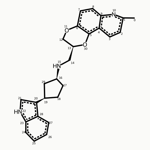 Cc1ccc2c3c(ccc2n1)OC[C@H](CN[C@H]1CC[C@@H](c2c[nH]c4ccccc24)C1)O3